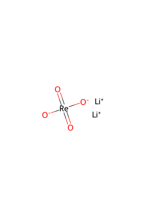 [Li+].[Li+].[O]=[Re](=[O])([O-])[O-]